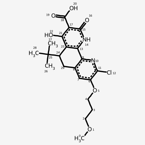 COCCCOc1cc2c(nc1Cl)-c1[nH]c(=O)c(C(=O)O)c(O)c1C(C(C)(C)C)C2